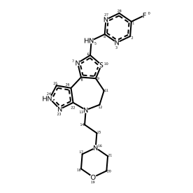 Fc1cnc(Nc2nc3c(s2)CCN(CCN2CCOCC2)c2n[nH]cc2-3)nc1